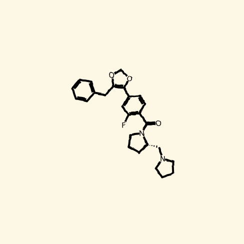 O=C(c1ccc(C2=C(Cc3ccccc3)OCO2)cc1F)N1CCC[C@H]1CN1CCCC1